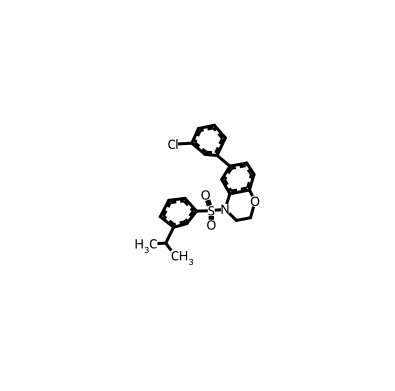 CC(C)c1cccc(S(=O)(=O)N2CCOc3ccc(-c4cccc(Cl)c4)cc32)c1